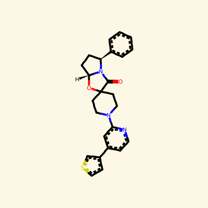 O=C1N2[C@@H](CC[C@H]2c2ccccc2)OC12CCN(c1cc(-c3ccsc3)ccn1)CC2